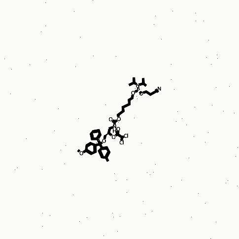 COc1ccc(C(OC[C@@H](CNC(=O)OCCCCCCOP(OCCC#N)N(C(C)C)C(C)C)OC(=O)C(Cl)Cl)(c2ccccc2)c2ccc(C)cc2)cc1